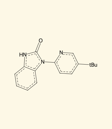 CC(C)(C)c1ccc(-n2c(=O)[nH]c3ccccc32)nc1